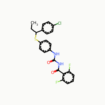 CCC(Sc1ccc(NC(=O)NC(=O)c2c(F)cccc2F)cc1)c1ccc(Cl)cc1